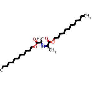 CCCCCCCCCCCCOC(=O)C(C)NC(C)C(=O)OCCCCCCCCCCCC